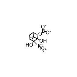 CC1(O)CCC2CC1(O)C2(C)C.[K+].[K+].[K+].[O-]B([O-])[O-]